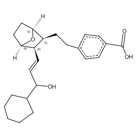 O=C(O)c1ccc(CC[C@H]2[C@@H](/C=C/C(O)C3CCCCC3)[C@H]3CC[C@@H]2O3)cc1